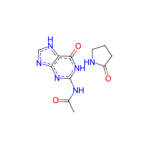 CC(=O)Nc1nc2nc[nH]c2c(=O)[nH]1.O=C1CCCN1